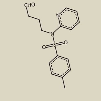 Cc1ccc(S(=O)(=O)N(CCCC=O)c2ccccn2)cc1